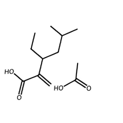 C=C(C(=O)O)C(CC)CC(C)C.CC(=O)O